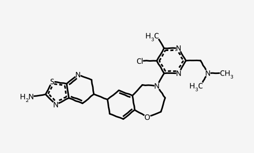 Cc1nc(CN(C)C)nc(N2CCOC3=CCC(C4C=c5nc(N)sc5=NC4)C=C3C2)c1Cl